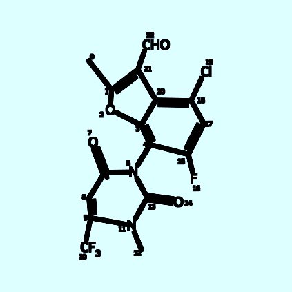 Cc1oc2c(-n3c(=O)cc(C(F)(F)F)n(C)c3=O)c(F)cc(Cl)c2c1C=O